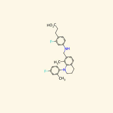 Cc1cc(F)ccc1N1CCCc2ccc(CNc3ccc(CCC(=O)O)c(F)c3)c(C)c21